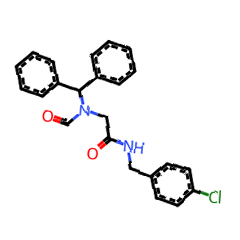 O=CN(CC(=O)NCc1ccc(Cl)cc1)C(c1ccccc1)c1ccccc1